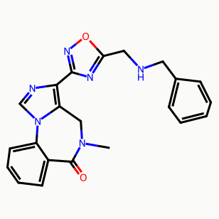 CN1Cc2c(-c3noc(CNCc4ccccc4)n3)ncn2-c2ccccc2C1=O